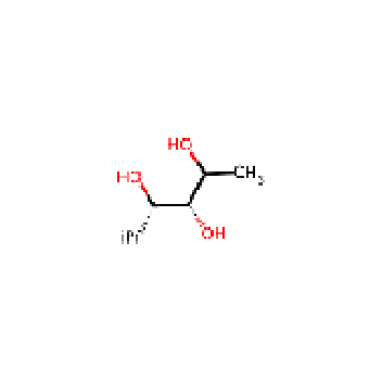 CC(C)[C@H](O)[C@@H](O)C(C)O